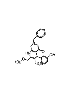 CCOC(=O)C1=C(COC(C)(C)C)NC2=C(C(=O)CN(Cc3ccccc3)C2)C1c1cccc(O)c1